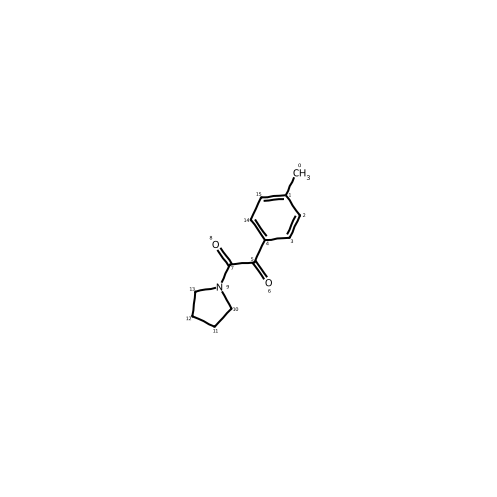 Cc1ccc(C(=O)C(=O)N2CCCC2)cc1